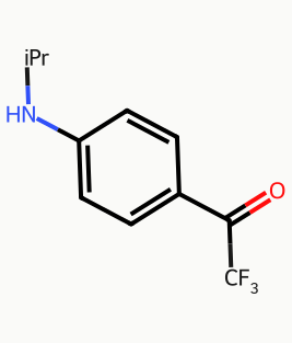 CC(C)Nc1ccc(C(=O)C(F)(F)F)cc1